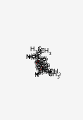 CC(C)c1ccc(N(c2ccc(C#N)cc2)c2ccc3c4c(c5ccccc5c3c2)-c2c(cc(N(c3ccc(C#N)cc3)c3ccc(C(C)C)cc3)c3ccccc23)C42c3ccccc3-c3ccccc32)cc1